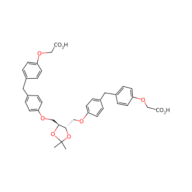 CC1(C)O[C@@H](COc2ccc(Cc3ccc(OCC(=O)O)cc3)cc2)[C@H](COc2ccc(Cc3ccc(OCC(=O)O)cc3)cc2)O1